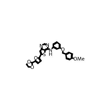 COc1ccc(COc2cccc(Nc3ncnc4cc(-c5ccc(C6OCCO6)o5)sc34)c2)cc1